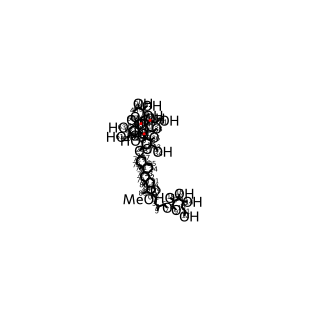 COC1(CCC(C)COC2OC(CO)C(O)C(O)C2O)OC2CC3C4CC=C5CC(OC6OC(CO)C(OC7OC(CO)C(O)C(OC8OCC(O)C(O)C8O)C7OC7OC(CO)C(O)C(O)C7O)C(O)C6O)CCC5(C)C4CCC3(C)C2C1C